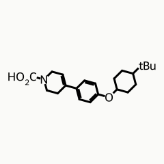 CC(C)(C)C1CCC(Oc2ccc(C3=CCN(C(=O)O)CC3)cc2)CC1